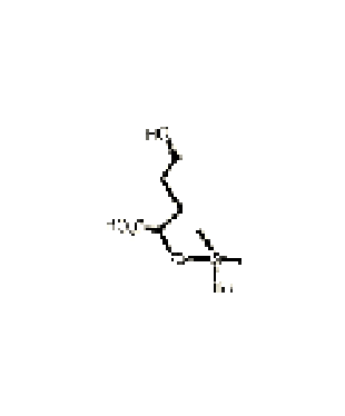 CC(C)(C)[Si](C)(C)OC(CCCO)C(=O)O